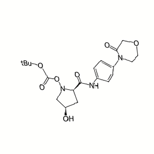 CC(C)(C)OC(=O)ON1C[C@H](O)C[C@@H]1C(=O)Nc1ccc(N2CCOCC2=O)cc1